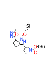 Cc1nnc(-c2cccc3c(C4=CCCN(C(=O)OC(C)(C)C)C4)nn(COCC[Si](C)(C)C)c23)o1